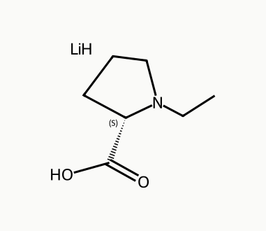 CCN1CCC[C@H]1C(=O)O.[LiH]